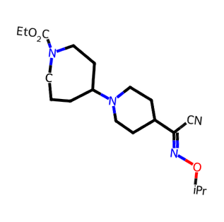 CCOC(=O)N1CCCC(N2CCC(/C(C#N)=N/OC(C)C)CC2)CC1